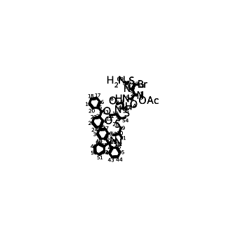 CC(=O)O/N=C(\C(=O)N[C@@H]1C(=O)N2C(C(=O)OC(c3ccccc3)c3ccccc3)=C(SCc3cnn(C(c4ccccc4)(c4ccccc4)c4ccccc4)c3)CS[C@H]12)c1nc(N)sc1Br